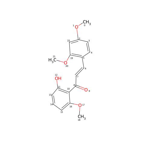 COc1ccc(C=CC(=O)c2c(O)cccc2OC)c(OC)c1